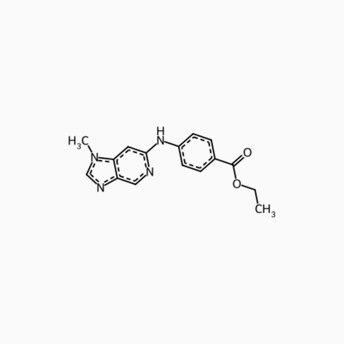 CCOC(=O)c1ccc(Nc2cc3c(cn2)ncn3C)cc1